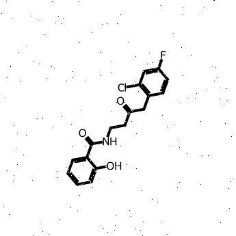 O=C(CCNC(=O)c1ccccc1O)Cc1ccc(F)cc1Cl